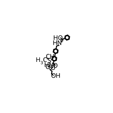 CC(C)Sc1cc(-c2ccc(CCNC[C@@H](O)c3ccccc3)cc2)ccc1C(=O)NS(=O)(=O)CCCO